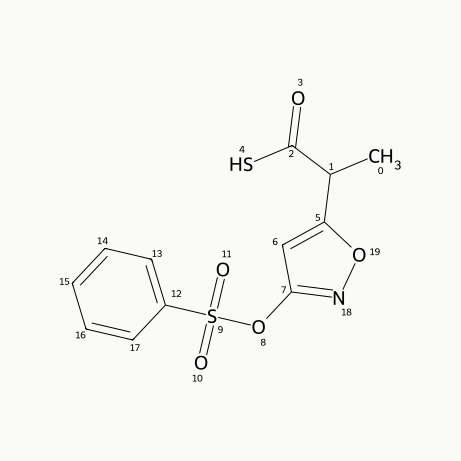 CC(C(=O)S)c1cc(OS(=O)(=O)c2ccccc2)no1